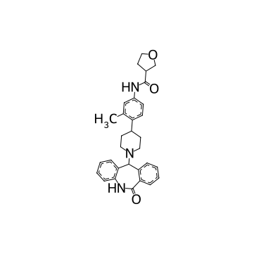 Cc1cc(NC(=O)C2CCOC2)ccc1C1CCN(C2c3ccccc3NC(=O)c3ccccc32)CC1